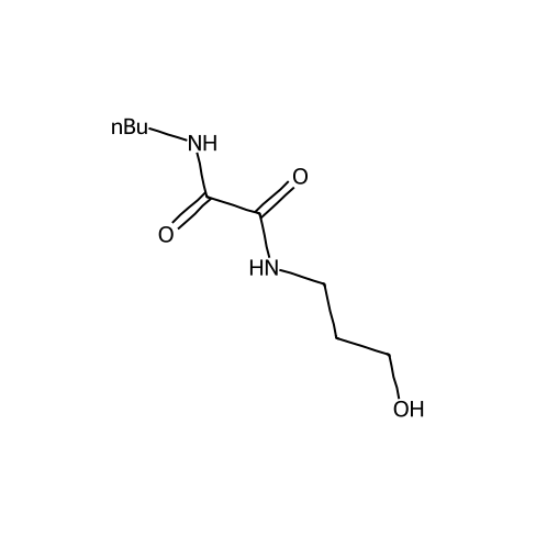 CCCCNC(=O)C(=O)NCCCO